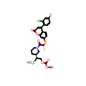 CC(C)OC(=O)OCC(C(=O)O)[C@H]1CCCN(C(=O)[C@@H](C)Oc2ccc3c(-c4ccc(F)cc4Cl)cc(=O)oc3c2)C1